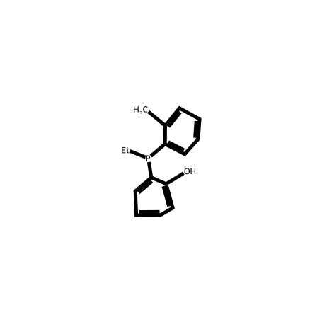 CCP(c1ccccc1C)c1ccccc1O